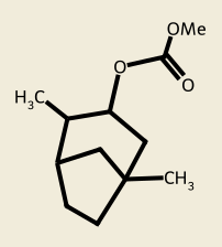 COC(=O)OC1CC2(C)CCC(C2)C1C